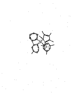 CC1=C(C)C(C)([Si](c2ccccc2)(c2cc(C)cc(C)c2)c2ccc(C)cc2C)[C]([Ti]([CH3])([CH3])[CH3])=C1C